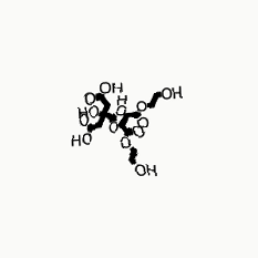 O=C(/C=C\C(=O)OCCO)OCCO.O=C(O)CC(O)(CC(=O)O)C(=O)O